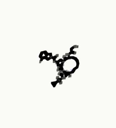 CC(C)(C)CC(=O)N[C@H]1CCCCC/C=C/[C@@H]2C[C@@]2(C(=O)NS(=O)(=O)C2CC2)NC(=O)[C@@H]2C[C@@H](OC(=O)N3Cc4cccc(F)c4C3)CN2C1=O